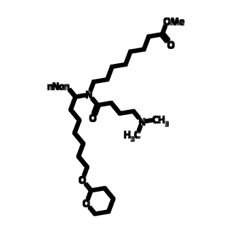 CCCCCCCCCC(CCCCCCOC1CCCCO1)N(CCCCCCCC(=O)OC)C(=O)CCCN(C)C